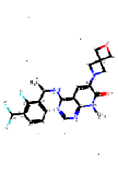 CC(Nc1ncnc2c1cc(N1CC3(COC3)C1)c(=O)n2C)c1cccc(C(F)F)c1F